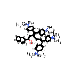 CN(C)c1ccc(C(=CCC(CC(=O)c2ccc3ccccc3c2)=C(c2ccc(N(C)C)cc2)c2ccc(N(C)C)cc2)c2ccc(N(C)C)cc2)cc1